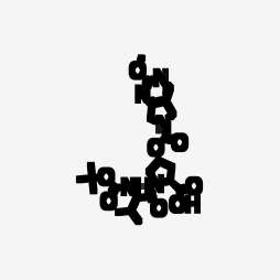 COc1ncc2c(n1)CN(C(=O)O[C@@H]1C[C@@H](C(=O)O)N(C(=O)[C@@H](NC(=O)OC(C)(C)C)C(C)C)C1)C2